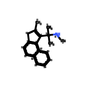 CC1=C([Si](C)(C)NC(C)(C)C)c2c(ccc3ccccc23)C1